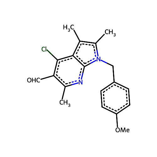 COc1ccc(Cn2c(C)c(C)c3c(Cl)c(C=O)c(C)nc32)cc1